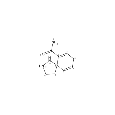 NC(=O)C1=CCC=CC12CCNN2